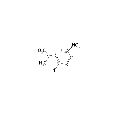 CC(C(=O)O)c1cc([N+](=O)[O-])ccc1F